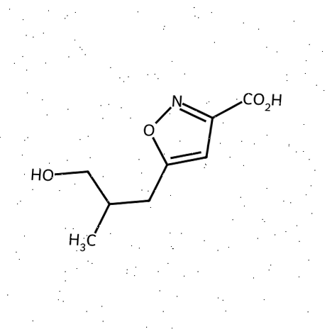 CC(CO)Cc1cc(C(=O)O)no1